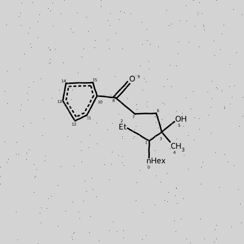 CCCCCCC(CC)C(C)(O)CCC(=O)c1ccccc1